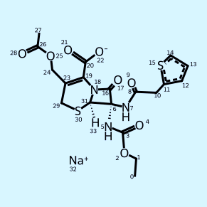 CCOC(=O)N[C@@]1(NC(=O)Cc2cccs2)C(=O)N2C(C(=O)[O-])=C(COC(C)=O)CS[C@@H]21.[Na+]